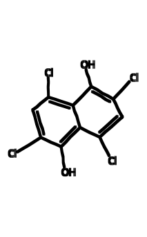 Oc1c(Cl)cc(Cl)c2c(O)c(Cl)cc(Cl)c12